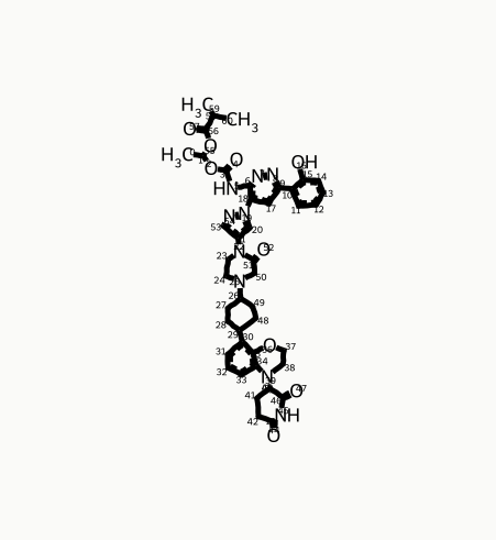 CC(OC(=O)Nc1nnc(-c2ccccc2O)cc1-n1cc(N2CCN(C3CCC(c4cccc5c4OCCN5[C@H]4CCC(=O)NC4=O)CC3)CC2=O)cn1)OC(=O)C(C)C